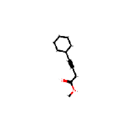 COC(=O)CC#CC1CC[CH]CC1